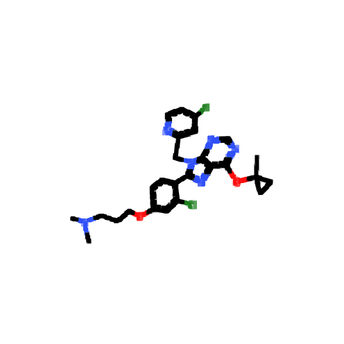 CN(C)CCCOc1ccc(-c2nc3c(OC4(C)CC4)ncnc3n2Cc2cc(Cl)ccn2)c(Cl)c1